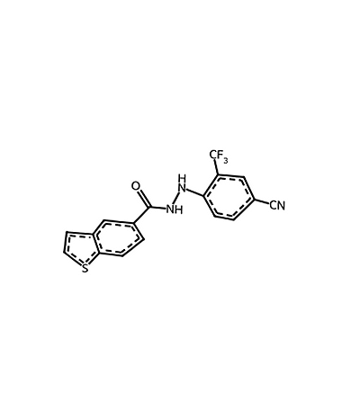 N#Cc1ccc(NNC(=O)c2ccc3sccc3c2)c(C(F)(F)F)c1